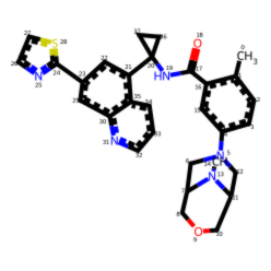 Cc1ccc(N2CC3COCC(C2)N3C)cc1C(=O)NC1(c2cc(-c3nccs3)cc3ncccc23)CC1